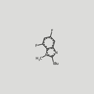 Cn1c(C(C)(C)C)nc2cc(F)cc(F)c21